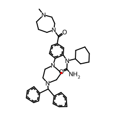 CN1CCCN(C(=O)c2ccc(N3CCN(C(c4ccccc4)c4ccccc4)CC3)c(N(C(N)=O)C3CCCCC3)c2)CC1